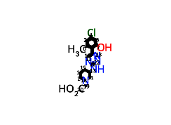 Cc1cc(Cl)cc(O)c1-c1cnc(NC2CCCN(CC(=O)O)C2)nn1